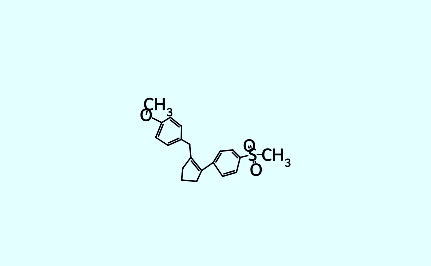 COc1ccc(CC2=C(c3ccc(S(C)(=O)=O)cc3)CCC2)cc1